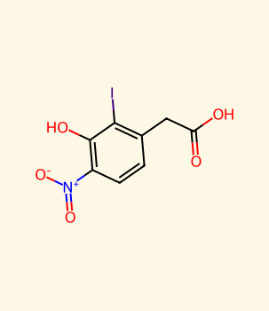 O=C(O)Cc1ccc([N+](=O)[O-])c(O)c1I